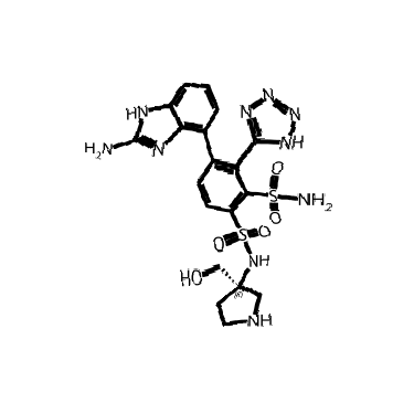 Nc1nc2c(-c3ccc(S(=O)(=O)N[C@]4(CO)CCNC4)c(S(N)(=O)=O)c3-c3nnn[nH]3)cccc2[nH]1